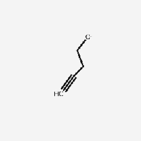 C#CCC[O]